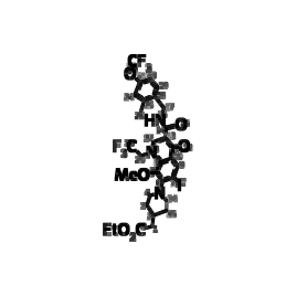 CCOC(=O)CC1CCN(c2c(F)cc3c(=O)c(C(=O)NCc4ccc(OC(F)(F)F)cc4C)cn(CC(F)(F)F)c3c2OC)CC1